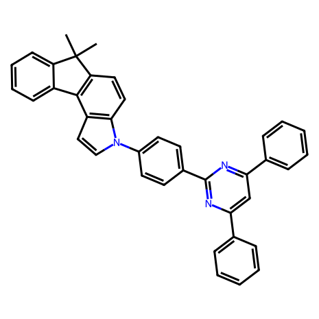 CC1(C)c2ccccc2-c2c1ccc1c2ccn1-c1ccc(-c2nc(-c3ccccc3)cc(-c3ccccc3)n2)cc1